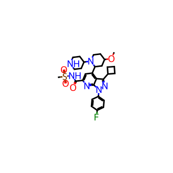 COC1CCN(C2CCNCC2)C(c2cc(C(=O)NS(C)(=O)=O)nc3c2c(C2CCC2)nn3-c2ccc(F)cc2)C1